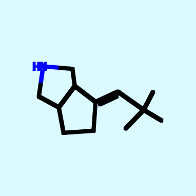 CC(C)(C)/C=C1\CCC2CNCC12